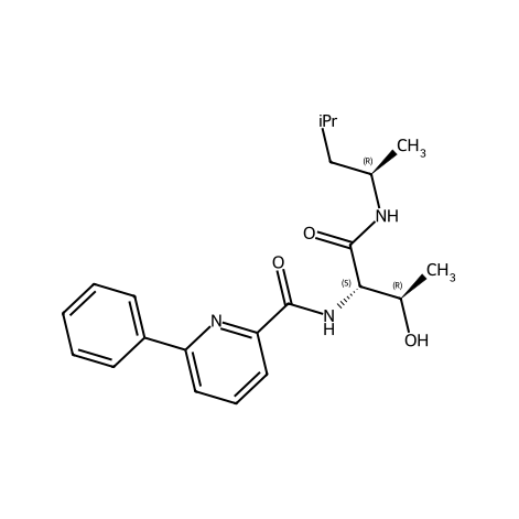 CC(C)C[C@@H](C)NC(=O)[C@@H](NC(=O)c1cccc(-c2ccccc2)n1)[C@@H](C)O